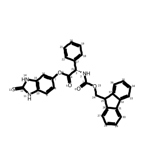 O=C(N[C@H](C(=O)Oc1ccc2[nH]c(=S)[nH]c2c1)c1ccccc1)OCC1c2ccccc2-c2ccccc21